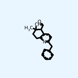 CC1(C)CCc2nc(Cc3ccccc3)ccc2C1C=O